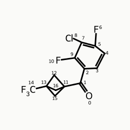 O=C(c1ccc(F)c(Cl)c1F)C12CC(C(F)(F)F)(C1)C2